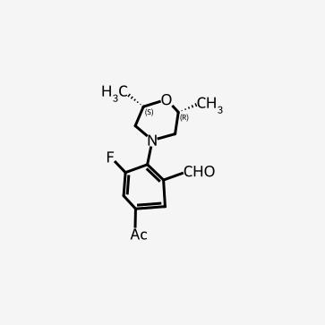 CC(=O)c1cc(F)c(N2C[C@@H](C)O[C@@H](C)C2)c(C=O)c1